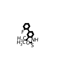 CC1(C)OC(=S)Nc2ccc(-c3ccccc3F)cc21